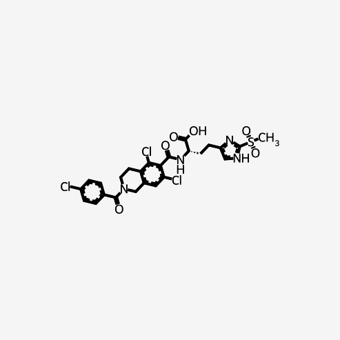 CS(=O)(=O)c1nc(CC[C@H](NC(=O)c2c(Cl)cc3c(c2Cl)CCN(C(=O)c2ccc(Cl)cc2)C3)C(=O)O)c[nH]1